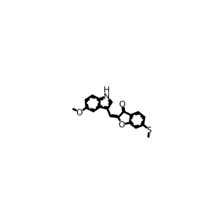 COc1ccc2[nH]cc(/C=C3/Oc4cc(SC)ccc4C3=O)c2c1